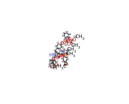 CCOC(=O)[C@@H](C)OP(=O)(COc1ccc(C[C@H](NC(=O)O[C@H]2CO[C@H]3OCC[C@H]32)[C@H](O)CN(CC(C)C)S(=O)(=O)c2ccc(OC)cc2)cc1)Oc1ccccc1